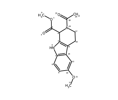 COC(=O)C1c2[nH]c3ccc(OC)cc3c2CCN1C(C)=O